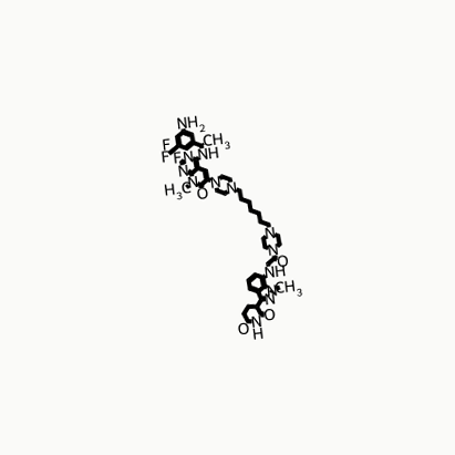 C[C@@H](Nc1ncnc2c1cc(N1CCN(CCCCCCCN3CCN(C(=O)CNc4cccc5c(C6CCC(=O)NC6=O)nn(C)c45)CC3)CC1)c(=O)n2C)c1cc(N)cc(C(F)(F)F)c1